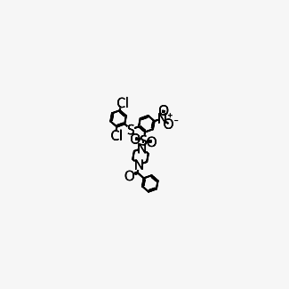 O=C(c1ccccc1)N1CCN(S(=O)(=O)c2cc([N+](=O)[O-])ccc2Sc2cc(Cl)ccc2Cl)CC1